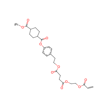 C=CC(=O)OCCOC(=O)CCC(=O)OCCc1ccc(OC(=O)C2CCC(C(=O)OC(C)C)CC2)cc1